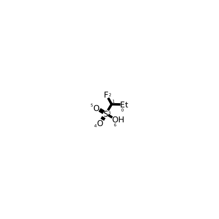 CCC(F)S(=O)(=O)O